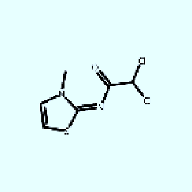 Cn1ccs/c1=N/C(=O)C(Cl)Cl